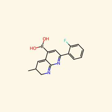 CC1C=c2c(B(O)O)cc(-c3ccccc3F)nc2=NC1